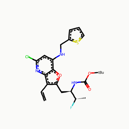 C=Cc1c(C[C@@H](NC(=O)OC(C)(C)C)[C@H](C)F)oc2c(NCc3cccs3)cc(Cl)nc12